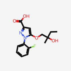 CCC(C)(O)COc1cc(C(=O)O)nn1-c1ccccc1F